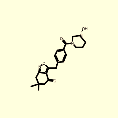 CC1(C)CC(=O)c2c(noc2Cc2ccc(C(=O)N3CCC[C@@H](O)C3)cc2)C1